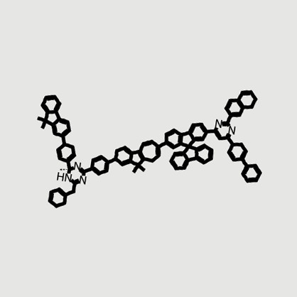 CC1(C)C2=CC(c3ccc(C4=N[C@](C)(C5=CCC(c6ccc7c(c6)C(C)(C)c6ccccc6-7)C=C5)NC(CC5=CC=CCC5)=N4)cc3)CC=C2C2=C1CC=C(c1ccc3c(c1)C1(c4ccccc4-c4ccccc41)c1cc(-c4cc(C5C=CC(c6ccccc6)=CC5)nc(-c5ccc6c(c5)CCC=C6)n4)ccc1-3)C=C2